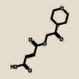 O=C(O)C=CC(=O)OCC(=O)N1CCOCC1